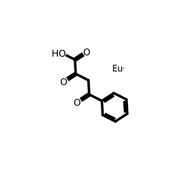 O=C(O)C(=O)CC(=O)c1ccccc1.[Eu]